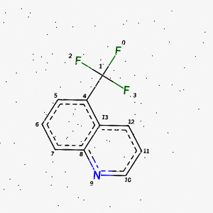 FC(F)(F)c1cccc2ncccc12